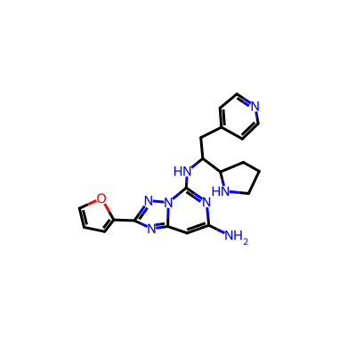 Nc1cc2nc(-c3ccco3)nn2c(NC(Cc2ccncc2)C2CCCN2)n1